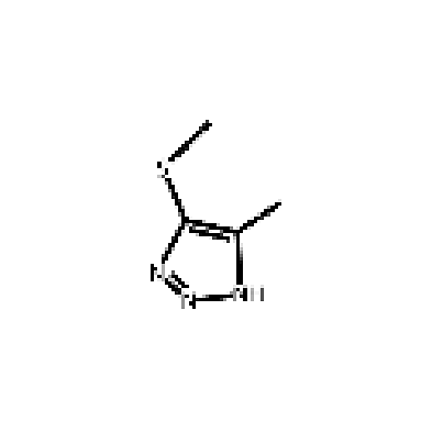 CSc1nn[nH]c1C